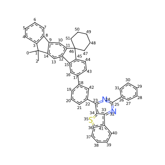 CC1(C)c2ccccc2-c2cc3c(cc21)-c1cc(-c2cccc(-c4nc(-c5ccccc5)nc5c4sc4ccccc45)c2)ccc1C31CCCCC1